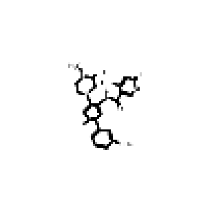 CC1CN(c2cc(F)c(-c3cccc(C=O)c3)cc2NC(=O)c2c[nH]c(=O)cc2C(F)(F)F)CCN1C